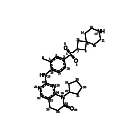 Cc1cc(S(=O)(=O)C2CC3(CCNCC3)C2)ccc1Nc1ncc2c(n1)N(C1CCCC1)C(=O)CC2